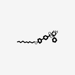 CCCCCCCCCCOc1ccc(-c2ccc(C(=O)OC3(c4ccccc4)CCNCC3)cc2)cc1